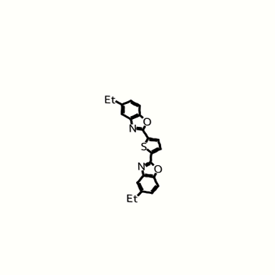 CCc1ccc2oc(-c3ccc(-c4nc5cc(CC)ccc5o4)s3)nc2c1